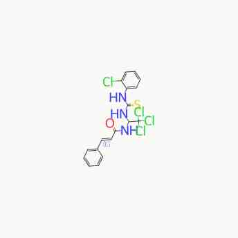 O=C(/C=C/c1ccccc1)NC(NC(=S)Nc1ccccc1Cl)C(Cl)(Cl)Cl